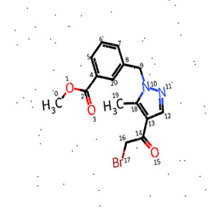 COC(=O)c1cccc(Cn2ncc(C(=O)CBr)c2C)c1